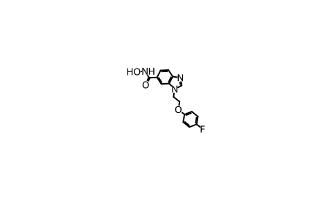 O=C(NO)c1ccc2ncn(CCOc3ccc(F)cc3)c2c1